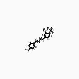 CCc1ccc(/C=N/N=C/c2ccc(C(F)(F)F)c(F)c2)cc1